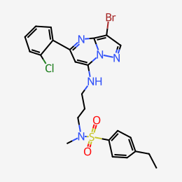 CCc1ccc(S(=O)(=O)N(C)CCCNc2cc(-c3ccccc3Cl)nc3c(Br)cnn23)cc1